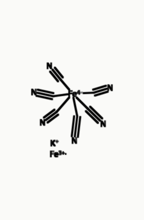 N#[C][Fe-4]([C]#N)([C]#N)([C]#N)([C]#N)[C]#N.[Fe+3].[K+]